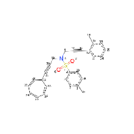 Cc1ccc(S(=O)(=O)N(CC#Cc2ccccc2C)CC#CC2C=CC=CC=C2)cc1